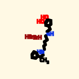 Br.Br.CC(CNCCCCCCNCCc1ccc(O)c(O)c1)c1ccccc1